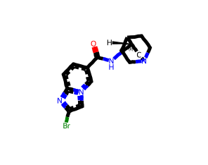 O=C(N[C@H]1CN2CCC1CC2)c1ccc2nc(Br)cn2c1